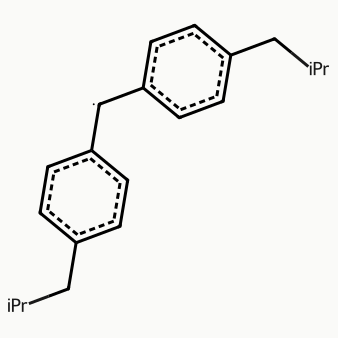 CC(C)Cc1ccc([CH]c2ccc(CC(C)C)cc2)cc1